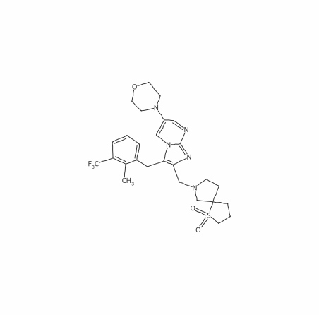 Cc1c(Cc2c(CN3CCC4(CCCS4(=O)=O)C3)nc3ncc(N4CCOCC4)cn23)cccc1C(F)(F)F